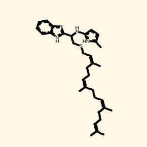 CC(C)=CCCC(C)=CCCC(C)=CCCC(C)=CCSCC(Nc1ccc(C)[nH]1)c1nc2ccccc2[nH]1